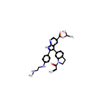 C=CC(=O)N1CCc2ccc(-c3c(-c4ccc(NCCNC)cc4)[nH]c4ncc(C(=O)OC(C)C)cc34)cc21